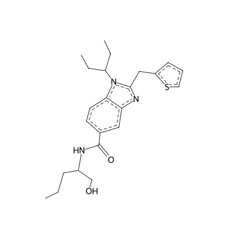 CCCC(CO)NC(=O)c1ccc2c(c1)nc(Cc1cccs1)n2C(CC)CC